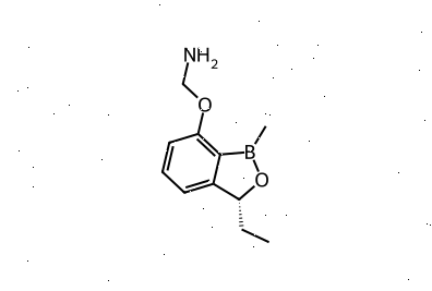 CC[C@H]1OB(C)c2c(OCN)cccc21